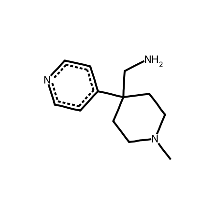 CN1CCC(CN)(c2ccncc2)CC1